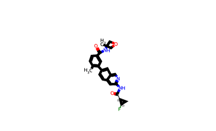 Cc1ccc(C(=O)NC2(C)COC2)cc1-c1ccc2cc(NC(=O)[C@@H]3C[C@@H]3F)ncc2c1